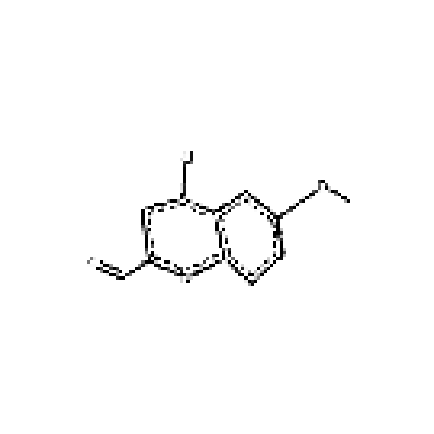 COc1ccc2nc(C=O)cc(Cl)c2c1